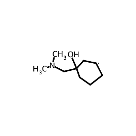 CN(C)CC1(O)C[CH]CCC1